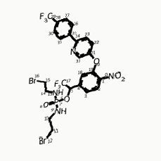 O=[N+]([O-])c1ccc(C(OP(=O)(NCCBr)NCCBr)C(F)(F)F)cc1Oc1ccc(-c2ccc(C(F)(F)F)cc2)nc1